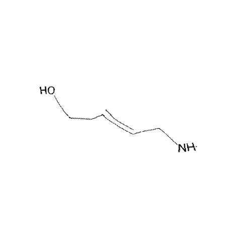 [NH]C/C=C/CO